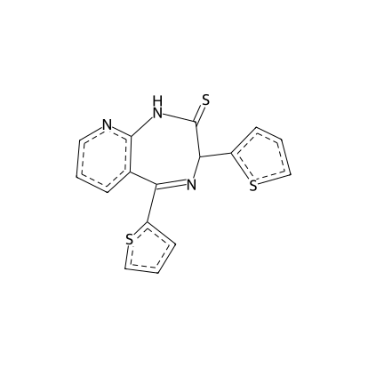 S=C1Nc2ncccc2C(c2cccs2)=NC1c1cccs1